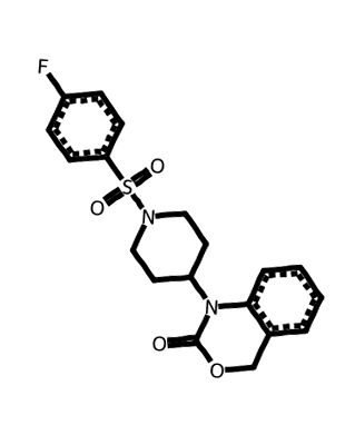 O=C1OCc2ccccc2N1C1CCN(S(=O)(=O)c2ccc(F)cc2)CC1